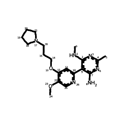 CNc1nc(C)nc(N)c1-c1cc(OCCCN2CCCC2)c(OC)cn1